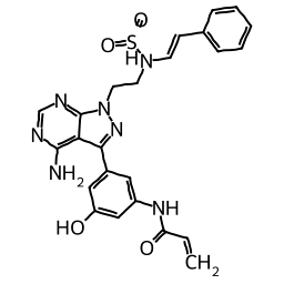 C=CC(=O)Nc1cc(O)cc(-c2nn(CCN(C=Cc3ccccc3)[SH](=O)=O)c3ncnc(N)c23)c1